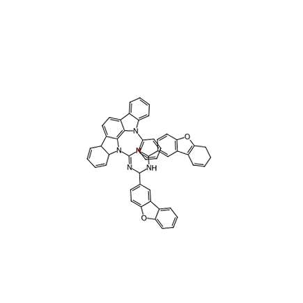 C1=CC2c3ccc4c5ccccc5n(-c5ccccc5)c4c3N(C3=NC(c4ccc5oc6ccccc6c5c4)NC(c4ccc5oc6c(c5c4)C=CCC6)=N3)C2C=C1